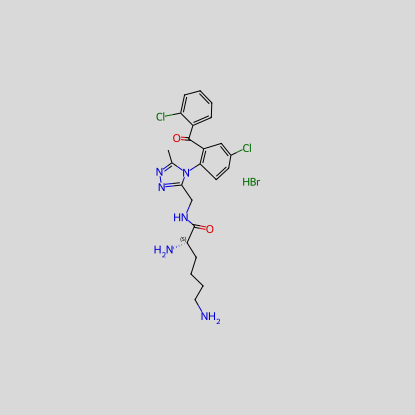 Br.Cc1nnc(CNC(=O)[C@@H](N)CCCCN)n1-c1ccc(Cl)cc1C(=O)c1ccccc1Cl